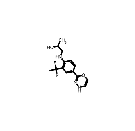 CC(O)CNc1ccc(C2=NNC=CO2)cc1C(F)(F)F